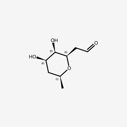 C[C@H]1C[C@@H](O)[C@@H](O)[C@@H](CC=O)O1